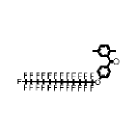 Cc1ccc(C)c(C(=O)c2ccc(OC(F)(F)C(F)(F)C(F)(F)C(F)(F)C(F)(F)C(F)(F)C(F)(F)C(F)(F)C(F)(F)C(F)(F)C(F)(F)C(F)(F)F)cc2)c1